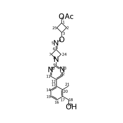 CC(=O)OC1CC(ON=C2CN(c3ncc(-c4cccc(CO)c4C)cn3)C2)C1